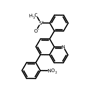 C[S+]([O-])c1ccccc1-c1ccc(-c2ccccc2[N+](=O)[O-])c2cccnc12